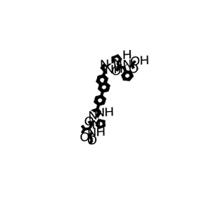 COC(=O)N[C@H](C(=O)N1CCC[C@H]1c1ncc(-c2ccc(-c3ccc4cc(-c5cnc([C@@H]6CCCN6C(=O)[C@H](NC(O)OC)c6ccccc6)[nH]5)ccc4c3)cc2)[nH]1)C(C)C